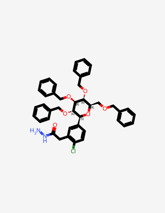 NNC(=O)Cc1cc([C@@H]2O[C@H](COCc3ccccc3)[C@@H](OCc3ccccc3)[C@H](OCc3ccccc3)[C@H]2OCc2ccccc2)ccc1Cl